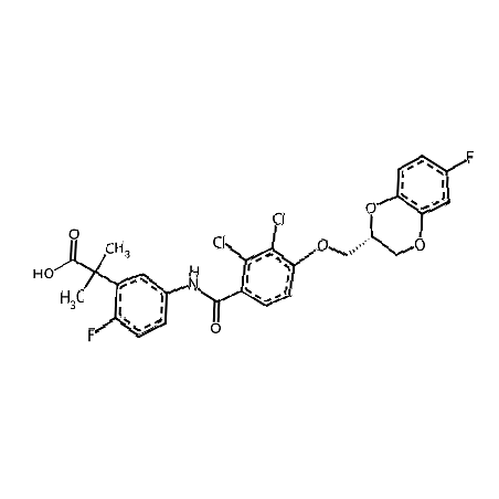 CC(C)(C(=O)O)c1cc(NC(=O)c2ccc(OC[C@H]3COc4cc(F)ccc4O3)c(Cl)c2Cl)ccc1F